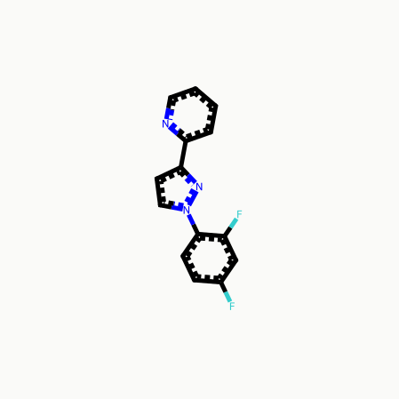 Fc1ccc(-n2ccc(-c3ccccn3)n2)c(F)c1